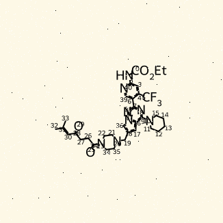 CCOC(=O)Nc1cc(C(F)(F)F)c(-c2nc(N3CCCCC3)c3cc(CN4CCN(C(=O)CCC(=O)C=C(C)C)CC4)cn3n2)cn1